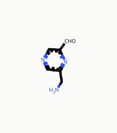 NCc1cncc(C=O)n1